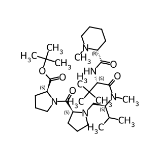 CC(C)[C@@H](CN1CCC[C@H]1C(=O)N1CCC[C@H]1C(=O)OC(C)(C)C)N(C)C(=O)[C@@H](NC(=O)[C@H]1CCCCN1C)C(C)(C)C